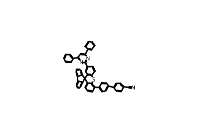 N#Cc1ccc(-c2ccc(-c3cccc4c3Sc3ccc(-c5nc(-c6ccccc6)cc(-c6ccccc6)n5)cc3C43c4ccccc4-c4ccccc43)cc2)cc1